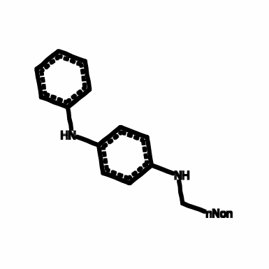 CCCCCCCCCCNc1ccc(Nc2ccccc2)cc1